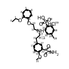 CCOc1ccccc1OCCN[C@H](C)Cc1ccc(OC)c(S(N)(=O)=O)c1.Cc1ccc(S(=O)(=O)O)cc1.Cl